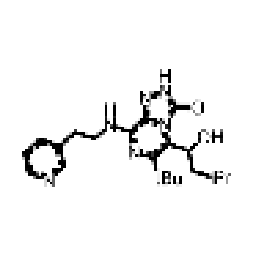 CC(C)CC(O)c1c(C(C)(C)C)nc(NCCc2cccnc2)c2n[nH]c(=O)n12